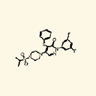 CC(C)S(=O)(=O)N1CCN(c2cnn(-c3cc(F)cc(F)c3)c(=O)c2Sc2ccccc2)CC1